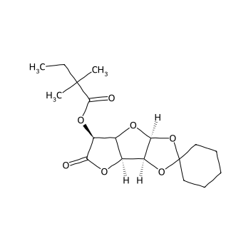 CCC(C)(C)C(=O)O[C@@H]1C(=O)O[C@H]2C1O[C@H]1OC3(CCCCC3)O[C@H]12